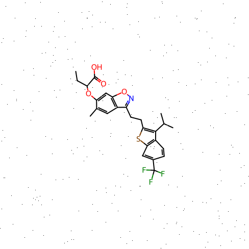 CCC(Oc1cc2onc(CCc3sc4cc(C(F)(F)F)ccc4c3C(C)C)c2cc1C)C(=O)O